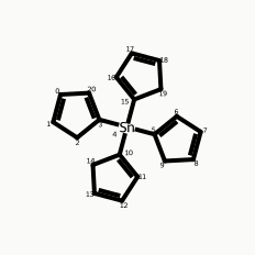 C1=CC[C]([Sn]([C]2=CC=CC2)([C]2=CC=CC2)[C]2=CC=CC2)=C1